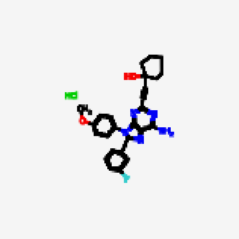 COc1ccc(-n2c(-c3cccc(F)c3)nc3c(N)nc(C#CC4(O)CCCCC4)nc32)cc1.Cl